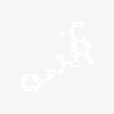 COC(=O)c1ccc(F)c(NC(=O)CNCc2ccccc2)c1